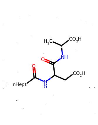 CCCCCCCC(=O)NC(CC(=O)O)C(=O)NC(C)C(=O)O